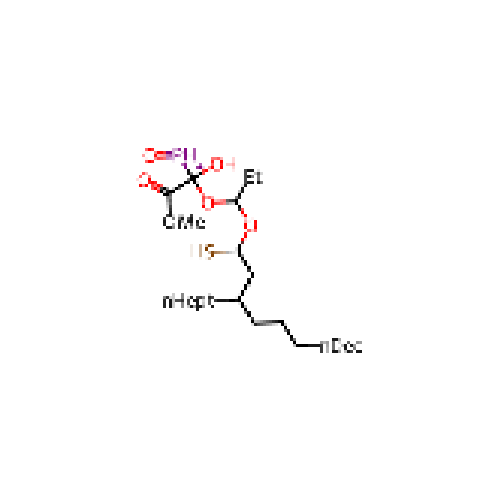 CCCCCCCCCCCCCC(CCCCCCC)CC(S)OC(CC)OC(O)([PH2]=O)C(=O)OC